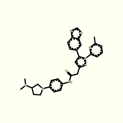 Cc1cccc(-n2nc(CC(=O)Nc3ccc(N4CCC(N(C)C)C4)cc3)cc2-c2ccc3ncsc3c2)n1